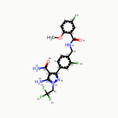 COc1ccc(F)cc1C(=O)NCc1ccc(-c2nn(CC(F)(F)F)c(N)c2C(N)=O)cc1F